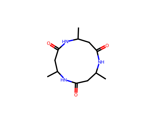 CC1CC(=O)NC(C)CC(=O)NC(C)CC(=O)N1